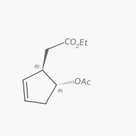 CCOC(=O)C[C@@H]1C=CC[C@H]1OC(C)=O